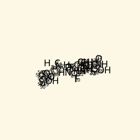 CN(CCC(=O)Nc1cc(F)c(CNC[C@H](O[Si](C)(C)C(C)(C)C)c2ccc(O)c3[nH]c(=O)ccc23)cc1F)[C@H]1CC[C@H](OC(=O)C(O)(c2cccs2)c2cccs2)CC1